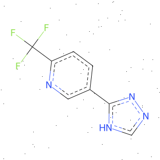 FC(F)(F)c1ccc(-c2nnc[nH]2)cn1